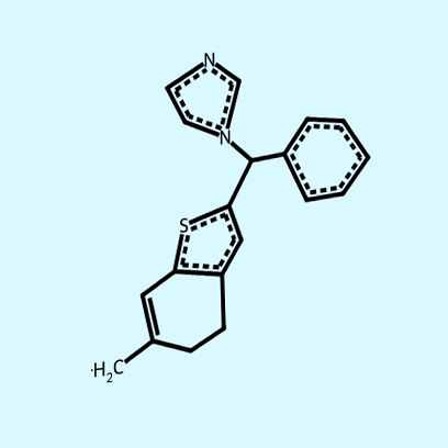 [CH2]C1=Cc2sc(C(c3ccccc3)n3ccnc3)cc2CC1